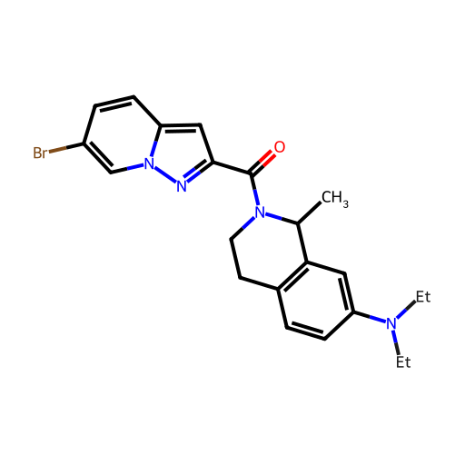 CCN(CC)c1ccc2c(c1)C(C)N(C(=O)c1cc3ccc(Br)cn3n1)CC2